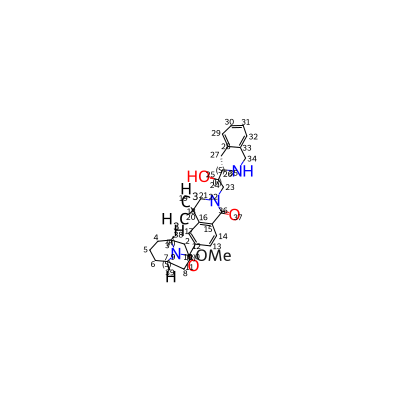 CO[C@H]1C[C@H]2CCC[C@@H](C1)N2C(=O)c1ccc2c(c1)C(C)(C)CN(C[C@@H](O)[C@@H]1Cc3ccccc3CN1)C2=O